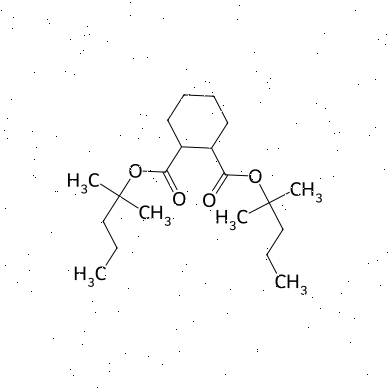 CCCC(C)(C)OC(=O)C1CCCCC1C(=O)OC(C)(C)CCC